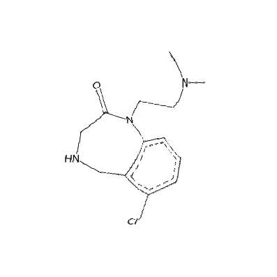 CN(C)CCN1C(=O)CNCc2c(Cl)cccc21